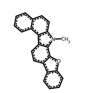 Cn1c2ccc3ccccc3c2c2ccc3c4ccccc4oc3c21